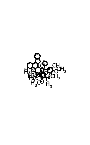 COc1c(C)cc(C(C2=CC=CC2)(c2cc(C)c(OC)c(C)c2)C2(C)C3=C4Cc5ccccc5C4=C4C=CCCC4C3(C)C(C)(C)C(C)(C)C2(C)C)cc1C